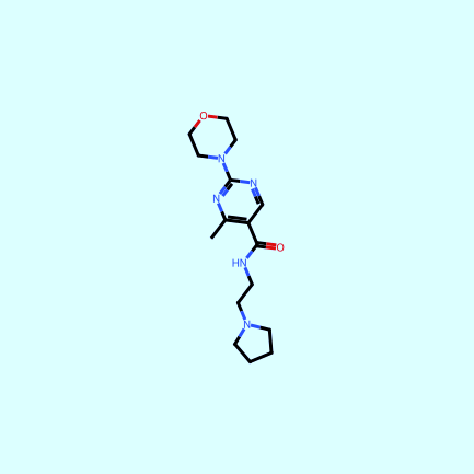 Cc1nc(N2CCOCC2)ncc1C(=O)NCCN1CCCC1